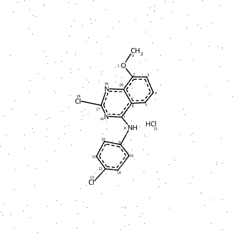 COc1cccc2c(Nc3ccc(Cl)cc3)nc(Cl)nc12.Cl